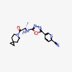 C[C@H](Nc1nnc(-c2ccc(C#N)nc2)o1)C(=O)N1CCC2(CC1)CC2